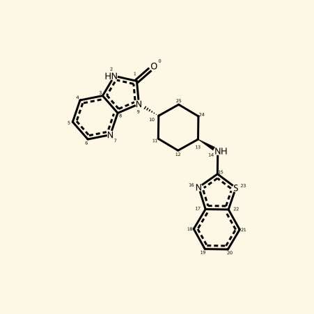 O=c1[nH]c2cccnc2n1[C@H]1CC[C@H](Nc2nc3ccccc3s2)CC1